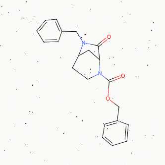 O=C1C2CC(CCN2C(=O)OCc2ccccc2)N1Cc1ccccc1